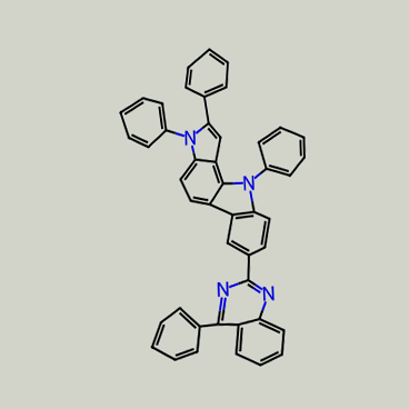 c1ccc(-c2nc(-c3ccc4c(c3)c3ccc5c(cc(-c6ccccc6)n5-c5ccccc5)c3n4-c3ccccc3)nc3ccccc23)cc1